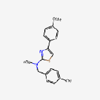 CCCCN(Cc1ccc(C#N)cc1)c1nc(-c2ccc(OC)cc2)cs1